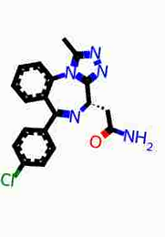 Cc1nnc2n1-c1ccccc1C(c1ccc(Cl)cc1)=N[C@H]2CC(N)=O